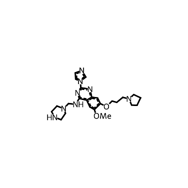 COc1cc2c(NCN3CCNCC3)nc(-n3ccnc3)nc2cc1OCCCN1CCCC1